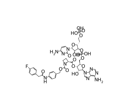 Nc1ccn([C@@H]2O[C@H](CCOP(=O)(O)O)[C@@H](OP(=O)(O)OC[C@H]3O[C@@H](n4cnc5c(N)ncnc54)[C@H](O)[C@@H]3OC(=O)[C@@H]3CCN3C(=O)OCc3ccc(NC(=O)Cc4ccc(F)cc4)cc3)[C@H]2O)c(=O)n1